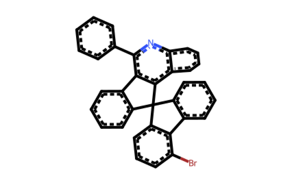 Brc1cccc2c1-c1ccccc1C21c2ccccc2-c2c(-c3ccccc3)nc3ccccc3c21